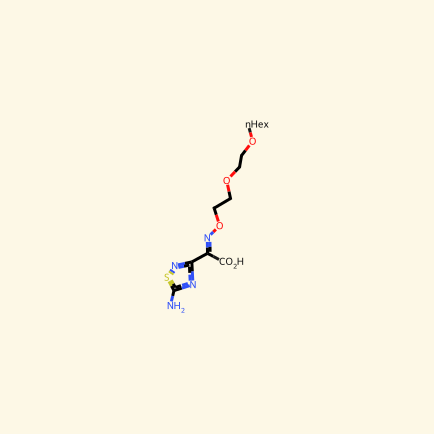 CCCCCCOCCOCCON=C(C(=O)O)c1nsc(N)n1